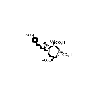 CNc1ccc(CCCC(CN2CCN(CC(=O)O)CCN(CC(=O)O)CCN(CC(=O)O)CC2)NCC(=O)O)cc1